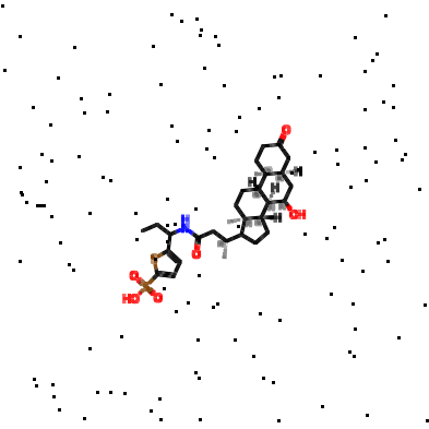 CCC(NC(=O)C[C@@H](C)C1CC[C@H]2[C@@H]3[C@H](O)C[C@@H]4CC(=O)CC[C@]4(C)[C@H]3CC[C@]12C)c1ccc(S(=O)(=O)O)s1